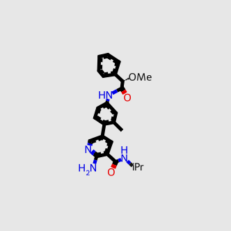 CO[C@H](C(=O)Nc1ccc(-c2cnc(N)c(C(=O)NC(C)C)c2)c(C)c1)c1ccccc1